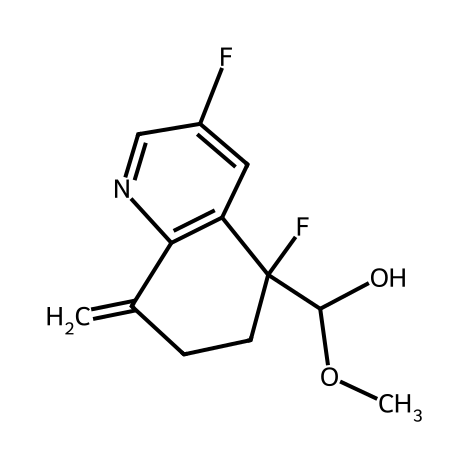 C=C1CCC(F)(C(O)OC)c2cc(F)cnc21